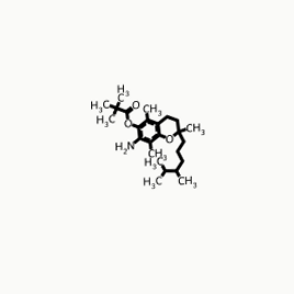 Cc1c2c(c(C)c(N)c1OC(=O)C(C)(C)C)OC(C)(CCCC(C)C(C)C)CC2